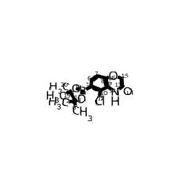 CC1(C)OB(c2ccc3c(c2Cl)NC(=O)CO3)OC1(C)C